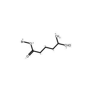 CC(C=O)CCCC(=O)OBr